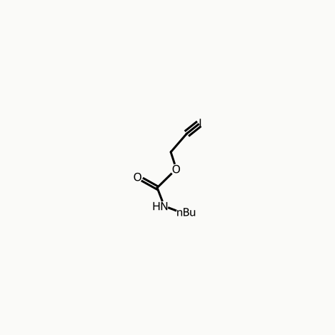 CCCCNC(=O)OCC#I